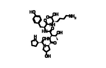 C[C@@H](O)[C@H](NC(=O)[C@@H]1C[C@@H](O)CN1C(=O)[C@@H]1CCCN1)C(=O)N[C@@H](Cc1ccc(O)cc1)C(=O)N[C@@H](CCCCN)C(=O)O